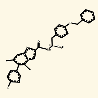 Cc1cc2nc(C(=O)N[C@@H](Cc3ccc(OCc4ccccc4)cc3)C(=O)O)cn2c(C)c1-c1ccc(Cl)cc1